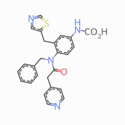 O=C(O)Nc1ccc(N(Cc2ccccc2)C(=O)Cc2ccncc2)c(Cc2cncs2)c1